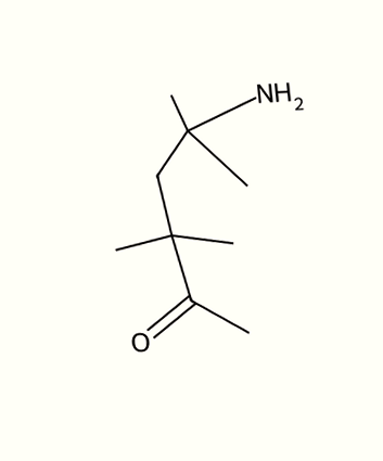 CC(=O)C(C)(C)CC(C)(C)N